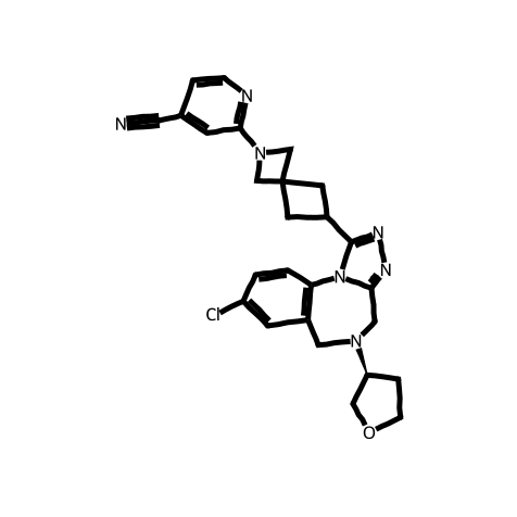 N#Cc1ccnc(N2CC3(CC(c4nnc5n4-c4ccc(Cl)cc4CN([C@H]4CCOC4)C5)C3)C2)c1